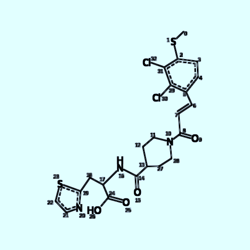 CSc1ccc(/C=C/C(=O)N2CCC(C(=O)NC(Cc3nccs3)C(=O)O)CC2)c(Cl)c1Cl